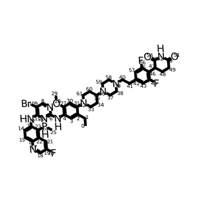 CCc1cc(Nc2ncc(Br)c(Nc3ccc4ncc(F)cc4c3PC)n2)c(OC)cc1N1CCC(N2CCN(CCc3cc(F)c(C4CCC(=O)NC4=O)c(F)c3)CC2)CC1